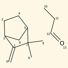 C=C1C2CCC(C2)C1(C)C.CCC=O